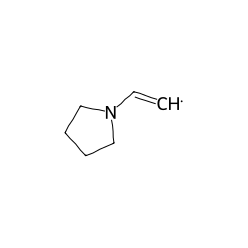 [CH]=CN1CCCC1